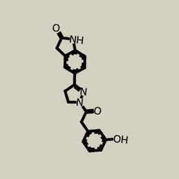 O=C1Cc2cc(C3=NN(C(=O)Cc4cccc(O)c4)CC3)ccc2N1